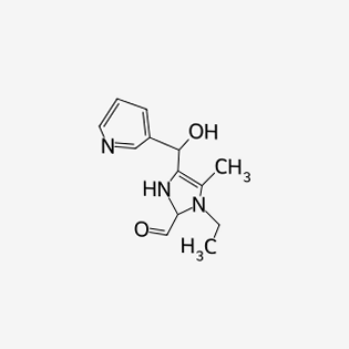 CCN1C(C)=C(C(O)c2cccnc2)NC1C=O